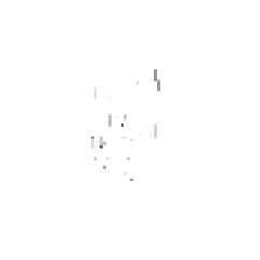 CCC1OC(O)[C@H](Nc2ccc([N+](=O)[O-])c3nonc23)C(O)[C@H]1O